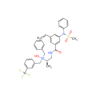 C=Cc1cc(C(=O)NC[C@@H](C)[N+](O)(Cc2ccccc2)Cc2cccc(C(F)(F)F)c2)cc(N(c2ccccc2)S(C)(=O)=O)c1